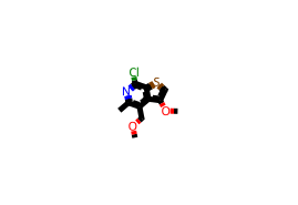 COCc1c(C)nc(Cl)c2scc(OC)c12